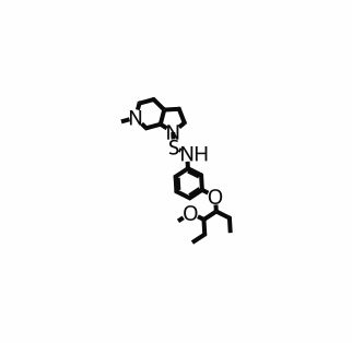 CCC(OC)C(CC)Oc1cccc(NSN2CCC3CCN(C)CC32)c1